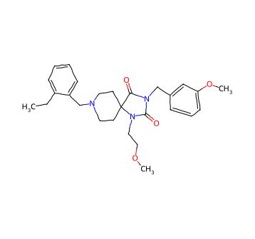 CCc1ccccc1CN1CCC2(CC1)C(=O)N(Cc1cccc(OC)c1)C(=O)N2CCOC